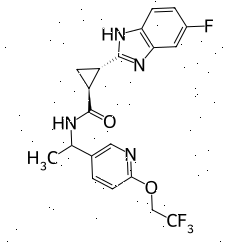 CC(NC(=O)[C@H]1C[C@@H]1c1nc2cc(F)ccc2[nH]1)c1ccc(OCC(F)(F)F)nc1